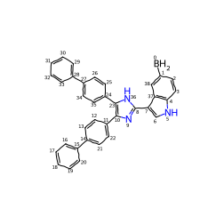 Bc1ccc2[nH]cc(-c3nc(-c4ccc(-c5ccccc5)cc4)c(-c4ccc(-c5ccccc5)cc4)[nH]3)c2c1